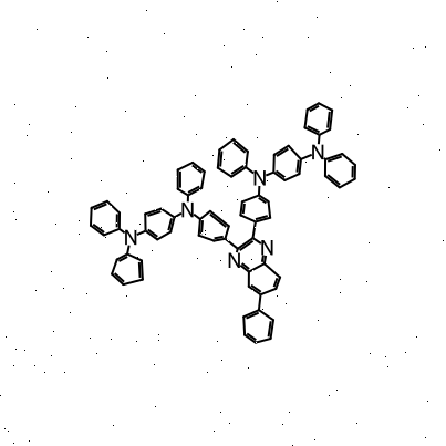 c1ccc(-c2ccc3nc(-c4ccc(N(c5ccccc5)c5ccc(N(c6ccccc6)c6ccccc6)cc5)cc4)c(-c4ccc(N(c5ccccc5)c5ccc(N(c6ccccc6)c6ccccc6)cc5)cc4)nc3c2)cc1